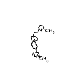 CC1CCCN1CCc1cc2ccc(-c3cn(C)cn3)cc2o1